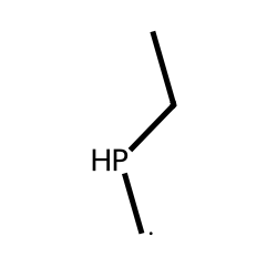 [CH2]PCC